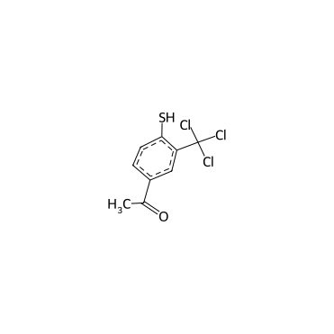 CC(=O)c1ccc(S)c(C(Cl)(Cl)Cl)c1